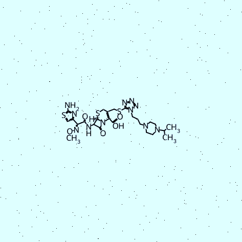 CON=C(C(=O)NC1C(=O)N2C(C(=O)O)=C(CSc3nnnn3CCCN3CCN(C(C)C)CC3)CS[C@@H]12)c1csc(N)n1